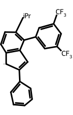 CC(C)c1ccc2c(c1-c1cc(C(F)(F)F)cc(C(F)(F)F)c1)C=C(c1ccccc1)[CH]2